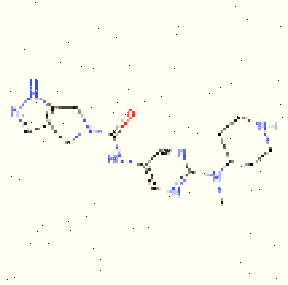 CN(c1ncc(NC(=O)N2Cc3cn[nH]c3C2)cn1)C1CCNCC1